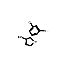 Nc1cccc(Cl)c1.OC1CCNC1